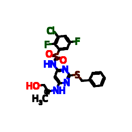 C[C@H](CO)Nc1cc(NS(=O)(=O)c2cc(F)cc(Cl)c2F)nc(SCc2ccccc2)n1